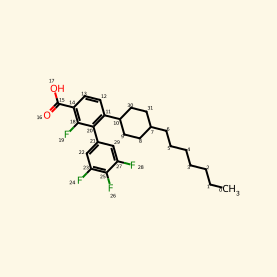 CCCCCCCC1CCC(c2ccc(C(=O)O)c(F)c2-c2cc(F)c(F)c(F)c2)CC1